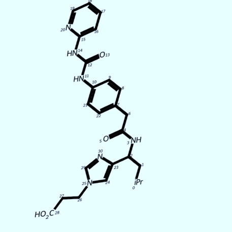 CC(C)CC(NC(=O)Cc1ccc(NC(=O)Nc2ccccn2)cc1)c1cn(CCC(=O)O)cn1